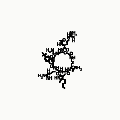 C=C(N)C1CCCNC(=O)CC[C@H](NC(=O)[C@H](CCCNC(=N)N)NC(C)=O)C(=O)N[C@@H](CCN)C(=O)N[C@H](Cc2ccc(C(C)(C)C)cc2)C(=O)N[C@@H](CCCNC(=N)N)C(=O)N[C@@H](Cc2c[nH]c(C)c2/C=C\C=C/C)C(=O)N1